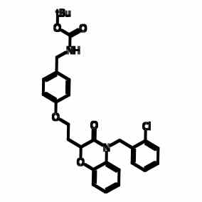 CC(C)(C)OC(=O)NCc1ccc(OCCC2Oc3ccccc3N(Cc3ccccc3Cl)C2=O)cc1